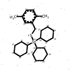 Cc1ccc(C)c(C[S][Sn]([CH]2CCCCC2)([CH]2CCCCC2)[CH]2CCCCC2)c1